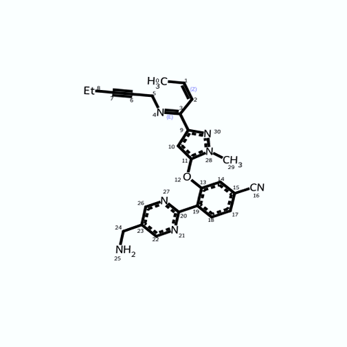 C/C=C\C(=N/CC#CCC)c1cc(Oc2cc(C#N)ccc2-c2ncc(CN)cn2)n(C)n1